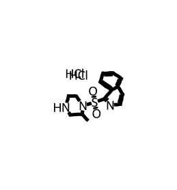 CC1CNCCN1S(=O)(=O)c1nccc2ccccc12.Cl.Cl